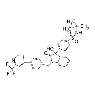 CC(C)(C)NS(=O)(=O)c1ccc(C2(O)C(=O)N(Cc3ccc(-c4ccnc(C(F)(F)F)c4)cc3)c3ccccc32)cc1